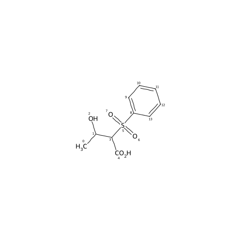 CC(O)C(C(=O)O)S(=O)(=O)c1ccccc1